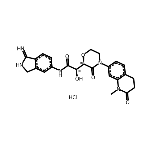 CN1C(=O)CCc2ccc(N3CCO[C@H]([C@@H](O)C(=O)Nc4ccc5c(c4)CNC5=N)C3=O)cc21.Cl